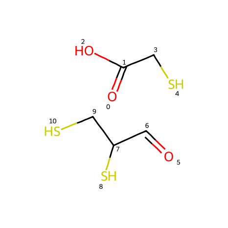 O=C(O)CS.O=CC(S)CS